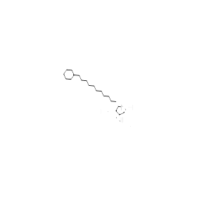 N[C@H]1CN[C@H](CCCCCCCCCCCC2CCCCC2)[C@H]1O